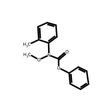 CON(C(=O)Oc1ccccc1)c1ccccc1C